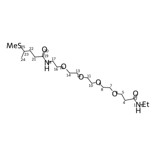 CCNC(=O)CCOCCOCCOCCOCCNC(=O)CCC(C)SC